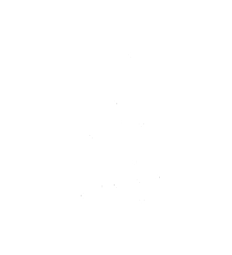 CCCOC(=O)c1scc(OC)c1OS(=O)(=O)Cl